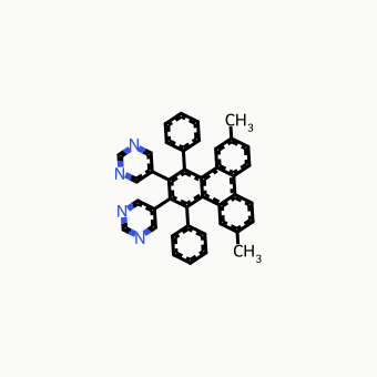 Cc1ccc2c3ccc(C)cc3c3c(-c4ccccc4)c(-c4cncnc4)c(-c4cncnc4)c(-c4ccccc4)c3c2c1